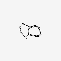 C1=NSc2ccccc2S1